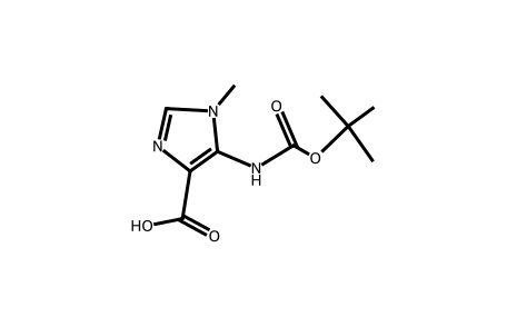 Cn1cnc(C(=O)O)c1NC(=O)OC(C)(C)C